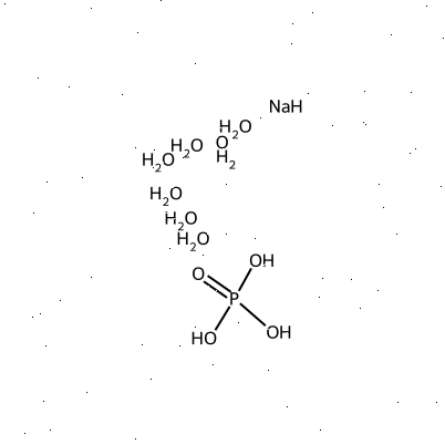 O.O.O.O.O.O.O.O=P(O)(O)O.[NaH]